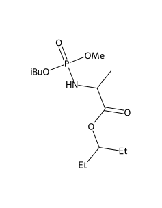 CCC(CC)OC(=O)C(C)NP(=O)(OC)OCC(C)C